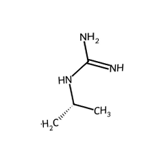 [CH2][C@@H](C)NC(=N)N